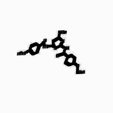 CCCCCCCCOc1ccc(C(=O)Nc2nc(NC)cc(NC(=O)c3ccc(CCCCCCCC)cc3)n2)cc1